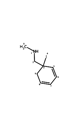 CNCC1(I)C=CC=CC1